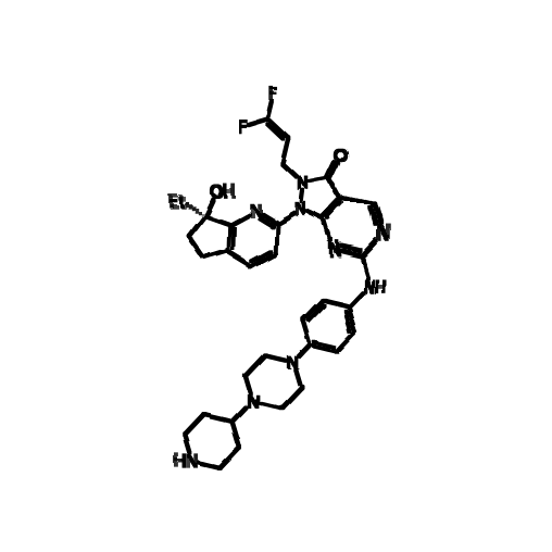 CC[C@@]1(O)CCc2ccc(-n3c4nc(Nc5ccc(N6CCN(C7CCNCC7)CC6)cc5)ncc4c(=O)n3CC=C(F)F)nc21